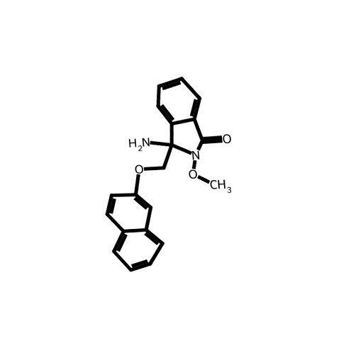 CON1C(=O)c2ccccc2C1(N)COc1ccc2ccccc2c1